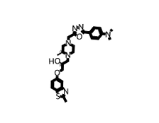 Cc1nc2cc(OC[C@H](O)CN3CCN(Cc4nnc(-c5ccc(N(C)C)cc5)o4)C[C@@H]3C)ccc2s1